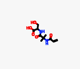 C=CC(=O)NC(C)(C)C(=O)NC(CO)C(=O)O